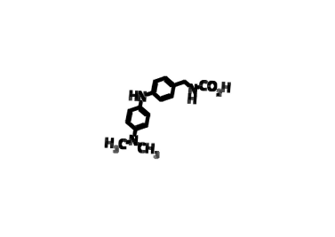 CN(C)c1ccc(Nc2ccc(CNC(=O)O)cc2)cc1